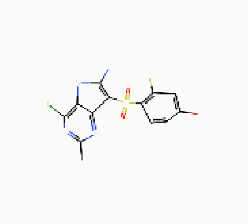 Cc1nc(Cl)c2[nH]c(N)c(S(=O)(=O)c3ccc(Br)cc3F)c2n1